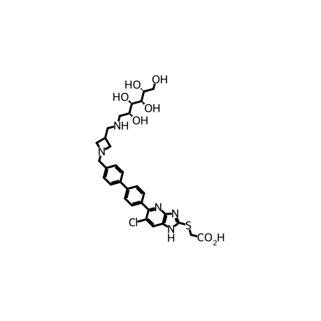 O=C(O)CSc1nc2nc(-c3ccc(-c4ccc(CN5CC(CNC[C@H](O)[C@@H](O)[C@H](O)[C@H](O)CO)C5)cc4)cc3)c(Cl)cc2[nH]1